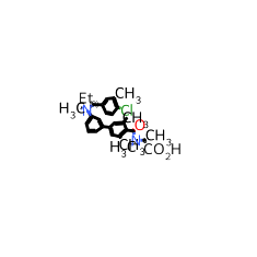 CC[C@H](c1ccc(Cl)c(C)c1)N(C)c1cccc(-c2cc(C)c(C(=O)N(C)C(C)C(=O)O)c(C)c2)c1